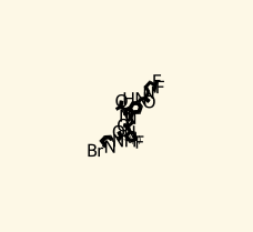 CC(=O)c1nn(CC(=O)N2C[C@H](F)C[C@H]2C(=O)Nc2cccc(Br)n2)c2ccc(NC(=O)N3CCC(F)(F)C3)cc12